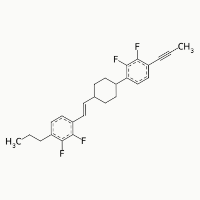 CC#Cc1ccc(C2CCC(/C=C/c3ccc(CCC)c(F)c3F)CC2)c(F)c1F